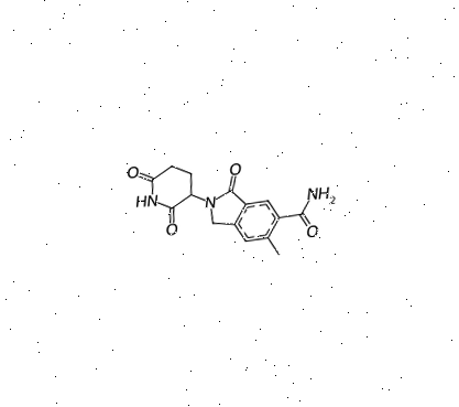 Cc1cc2c(cc1C(N)=O)C(=O)N(C1CCC(=O)NC1=O)C2